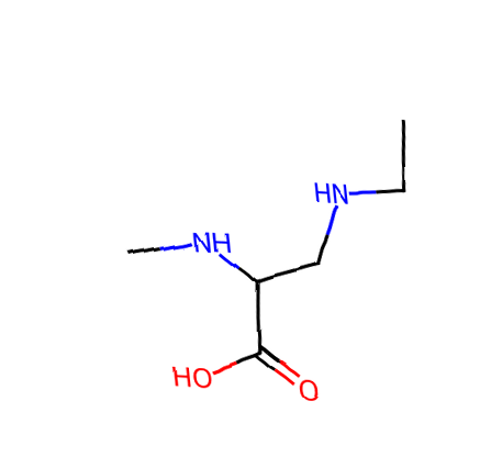 CCNCC(NC)C(=O)O